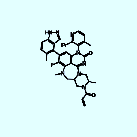 C=CC(=O)N1CC2CN(C)c3c(F)c(-c4c(C)ccc5[nH]ncc45)cc4c3c(nc(=O)n4-c3c(C)ccnc3C(C)C)N2CC1C